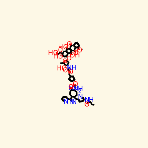 CCCC(=O)Nc1ccc(C2=NN=C(c3ccccn3)C3CCC(N)C(NC(=O)Oc4ccc(COC(=O)NC5CC(O[C@H]6C[C@](O)(C(=O)CO)Cc7c(O)c8c(c(O)c76)C(=O)c6c(OC)cccc6C8=O)OC(C)C5O)cc4)CCC23)nc1